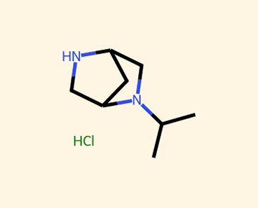 CC(C)N1CC2CC1CN2.Cl